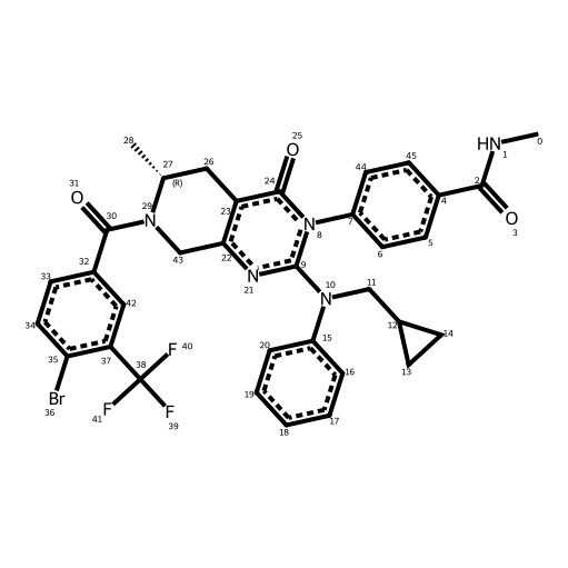 CNC(=O)c1ccc(-n2c(N(CC3CC3)c3ccccc3)nc3c(c2=O)C[C@@H](C)N(C(=O)c2ccc(Br)c(C(F)(F)F)c2)C3)cc1